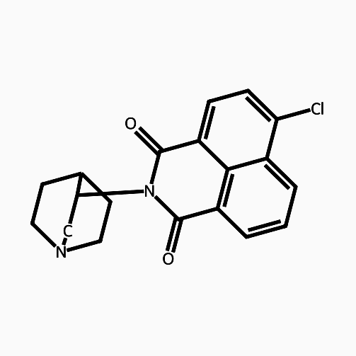 O=C1c2cccc3c(Cl)ccc(c23)C(=O)N1C1CN2CCC1CC2